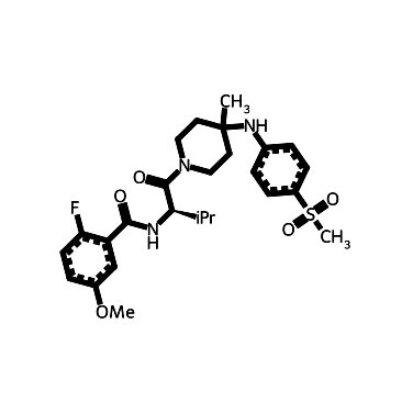 COc1ccc(F)c(C(=O)N[C@@H](C(=O)N2CCC(C)(Nc3ccc(S(C)(=O)=O)cc3)CC2)C(C)C)c1